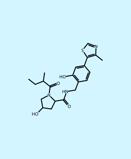 CCC(C)C(=O)N1CC(O)CC1C(=O)NCc1ccc(-c2scnc2C)cc1O